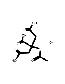 CC(=O)OC(CC(=O)O)(CC(=O)O)C(=O)O.[KH]